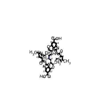 CCn1nc(C)cc1C(=O)Nc1nc2cc(C(=O)O)cc3c2n1[C@@H](C/C=C\C[C@H]1COc2cc(C(=O)O)cc4nc(NC(=O)c5cc(C)nn5CC)n1c24)CO3